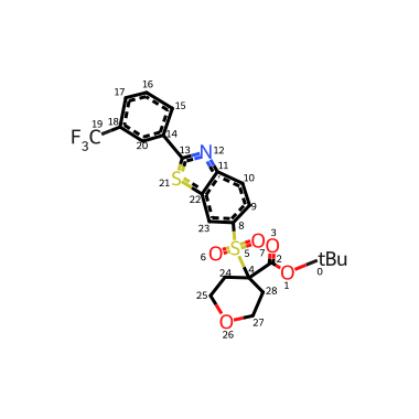 CC(C)(C)OC(=O)C1(S(=O)(=O)c2ccc3nc(-c4cccc(C(F)(F)F)c4)sc3c2)CCOCC1